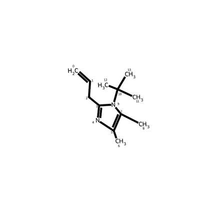 C=CCc1nc(C)c(C)n1C(C)(C)C